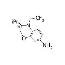 CC(C)[C@@H]1COc2cc(N)ccc2N1CC(F)(F)F